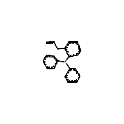 C=CCc1ccccc1P(c1ccccc1)c1ccccc1